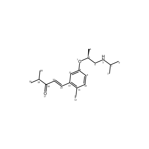 CC(C)NC[C@H](C)Oc1ccc(F)c(/C=C/C(=O)C(C)C)c1